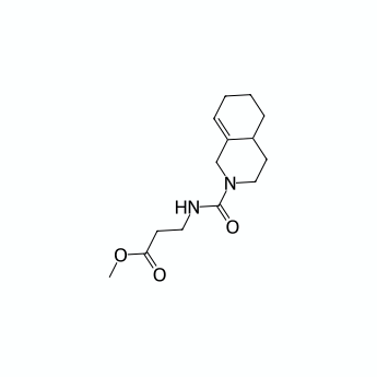 COC(=O)CCNC(=O)N1CCC2CCCC=C2C1